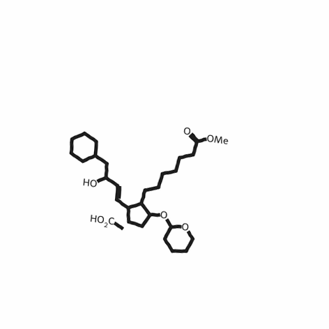 CC(=O)O.COC(=O)CCCCCCC1C(C=CC(O)CC2CCCCC2)CCC1OC1CCCCO1